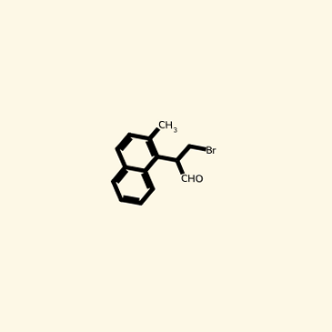 Cc1ccc2ccccc2c1C(C=O)CBr